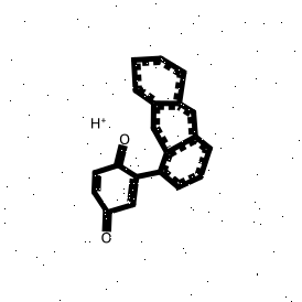 O=C1C=CC(=O)C(c2cccc3cc4ccccc4cc23)=C1.[H+]